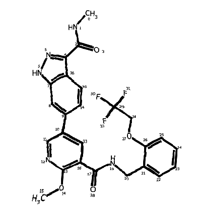 CNC(=O)c1n[nH]c2cc(-c3cnc(OC)c(C(=O)NCc4ccccc4OCC(F)(F)F)c3)ccc12